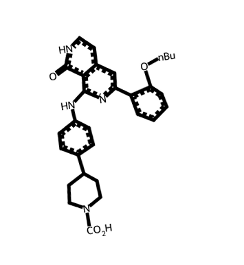 CCCCOc1ccccc1-c1cc2cc[nH]c(=O)c2c(Nc2ccc(C3CCN(C(=O)O)CC3)cc2)n1